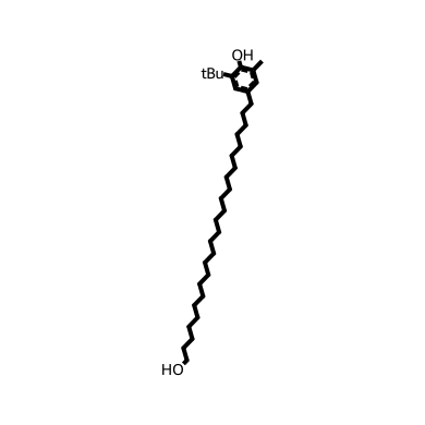 Cc1cc(CCCCCCCCCCCCCCCCCCCCCCCCCO)cc(C(C)(C)C)c1O